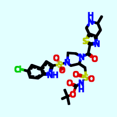 CC1Cc2nc(C(=O)N3CCN(S(=O)(=O)c4cc5cc(Cl)ccc5[nH]4)CC3CS(=O)(=O)NC(=O)OC(C)(C)C)sc2CN1